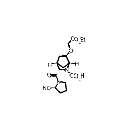 CCOC(=O)CO[C@@H]1C[C@@H]2C[C@H]1N(C(=O)O)[C@@H]2C(=O)N1CCC[C@H]1C#N